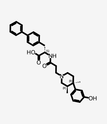 C[C@H]1CN(CCC(=O)N[C@@H](Cc2ccc(-c3ccccc3)cc2)C(=O)O)CC[C@@]1(C)c1cccc(O)c1